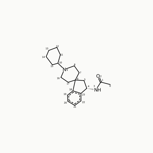 CC(=O)N[C@H]1CC2(CCN(C3CCCCC3)CC2)c2ccccc21